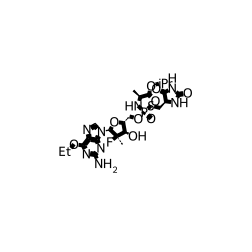 CCOc1nc(N)nc2c1ncn2[C@@H]1O[C@H](COP(=O)(N[C@@H](C)C(=O)OC(C)C)SC[C@@H]2NC(=O)NC2=O)[C@@H](O)[C@@]1(C)F